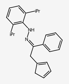 CC(C)c1cccc(C(C)C)c1NN=C(CC1=CC=CC1)c1ccccc1